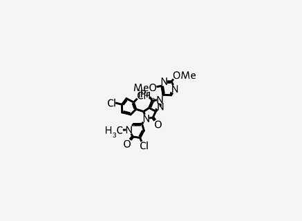 COc1ncc(-n2nc3c(c2C(C)C)C(c2ccc(Cl)cc2C)N(c2cc(Cl)c(=O)n(C)c2)C3=O)c(OC)n1